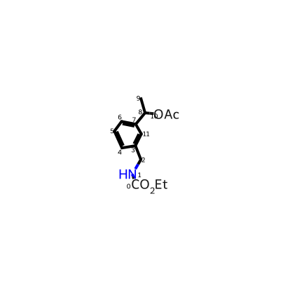 CCOC(=O)NCc1cccc(C(C)OC(C)=O)c1